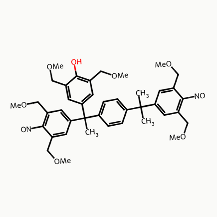 COCc1cc(C(C)(c2ccc(C(C)(C)c3cc(COC)c(N=O)c(COC)c3)cc2)c2cc(COC)c(N=O)c(COC)c2)cc(COC)c1O